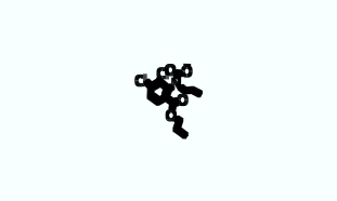 CCCOC(=O)c1ccc(Cl)c(Cl)c1N(CCC)C(=O)OC